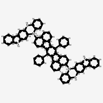 c1ccc(-c2c3c4cccc5c(N6c7ccccc7Sc7cc8c(cc76)sc6ccccc68)ccc(c3c(-c3ccccc3)c3c6cccc7c(N8c9ccccc9Sc9cc%10c(cc98)sc8ccccc8%10)ccc(c23)c76)c54)cc1